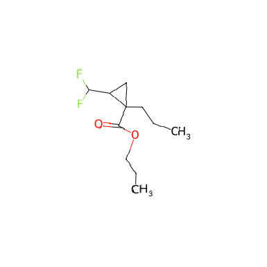 CCCOC(=O)C1(CCC)CC1C(F)F